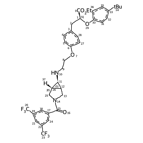 CCOC(=O)[C@H](Cc1ccc(OCCN[C@H]2C3CN(C(=O)c4cc(C(F)(F)F)cc(C(F)(F)F)c4)C[C@@H]32)cc1)Oc1ccc(C(C)(C)C)cc1